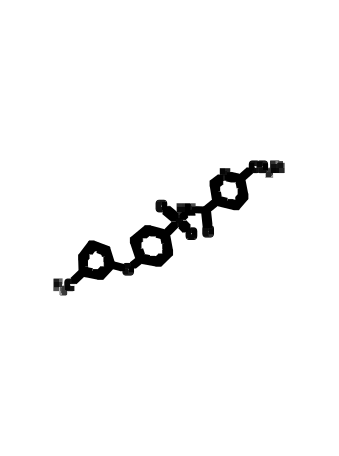 CCOC(=O)c1ccc(C(=O)NS(=O)(=O)c2ccc(Oc3cccc(C(F)(F)F)c3)cc2)cn1